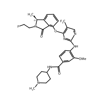 COc1cc(C(=O)NC2CCN(C)CC2)ccc1Nc1ncc(C(F)(F)F)c(Oc2cccc3c2C(=O)N(CCF)[C@H]3C)n1